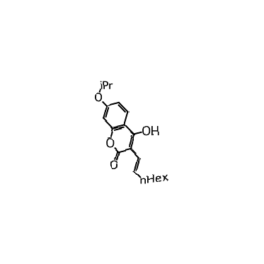 CCCCCCC=Cc1c(O)c2ccc(OC(C)C)cc2oc1=O